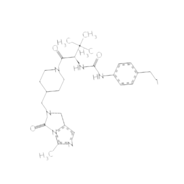 Cc1ncc2n1C(=O)N(CC1CCN(C(=O)[C@H](NC(=O)Nc3ccc(CI)cc3)C(C)(C)C)CC1)C2